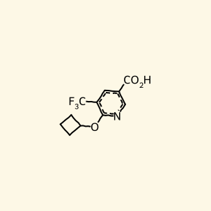 O=C(O)c1cnc(OC2CCC2)c(C(F)(F)F)c1